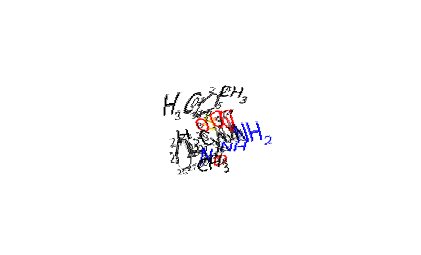 Cc1cc(C)cc(S(=O)(=O)c2c(C(N)=O)[nH]c(C(=O)N(C)Cc3ccccc3)c2C)c1